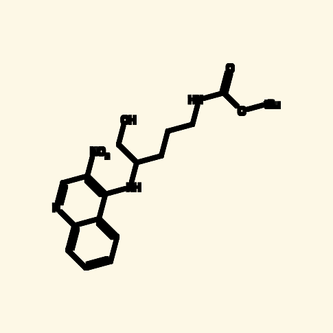 CC(C)(C)OC(=O)NCCCC(CO)Nc1c([N+](=O)[O-])cnc2ccccc12